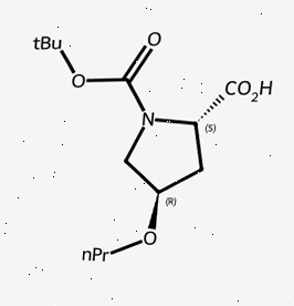 CCCO[C@@H]1C[C@@H](C(=O)O)N(C(=O)OC(C)(C)C)C1